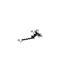 CCCCCCCCCCCc1cnc(-c2ccc(C3(CCC)NC=C(C(=O)O)S3)cc2)nc1